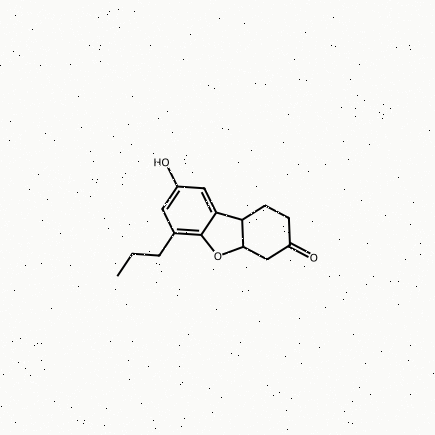 CCCc1cc(O)cc2c1OC1CC(=O)CCC21